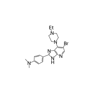 CCN1CCN(c2c(Br)cnc3[nH]c(-c4ccc(N(C)C)cc4)nc23)CC1